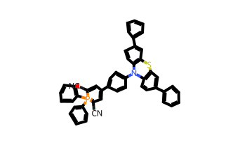 N#CC1=CC(c2ccc(N3c4ccc(-c5ccccc5)cc4Sc4cc(-c5ccccc5)ccc43)cc2)=CC(C#N)=P1(c1ccccc1)c1ccccc1